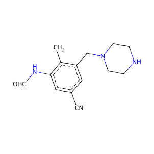 Cc1c(CN2CCNCC2)cc(C#N)cc1NC=O